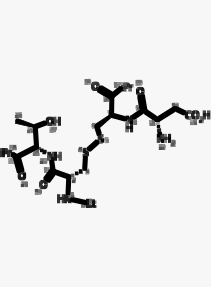 CCN[C@@H](CSSC[C@H](NC(=O)[C@@H](N)CC(=O)O)C(=O)C(C)C)C(=O)N[C@H](C(=O)C(C)C)[C@@H](C)O